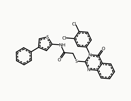 O=C(CSc1nc2ccccc2c(=O)n1-c1ccc(Cl)c(Cl)c1)Nc1cc(-c2ccccc2)cs1